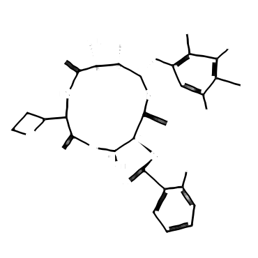 C[C@H]1OC(=O)C(C2CCO2)NC(=O)[C@H](C)[C@H](O)[C@H](Cc2cc(F)c(F)c(F)c2F)NC(=O)[C@H]1NC(=O)c1ccccc1O